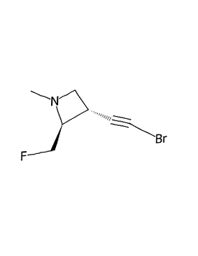 CN1C[C@H](C#CBr)[C@H]1CF